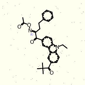 CCn1c2ccc(C(=O)/C(CCc3ccccc3)=N/OC(C)=O)cc2c2cc(C(=O)C(C)(C)C)ccc21